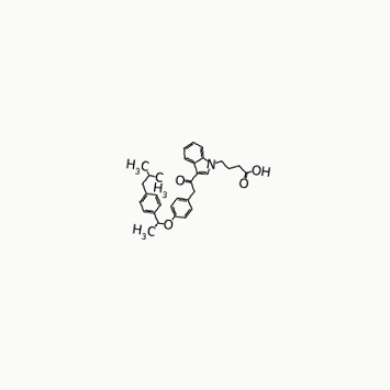 CC(C)Cc1ccc([C@H](C)Oc2ccc(CC(=O)c3cn(CCCC(=O)O)c4ccccc34)cc2)cc1